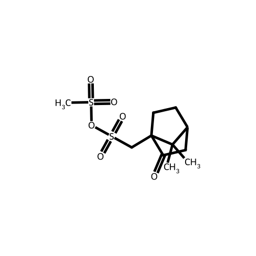 CC1(C)C2CCC1(CS(=O)(=O)OS(C)(=O)=O)C(=O)C2